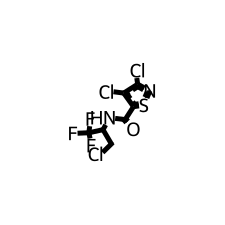 O=C(NC(CCl)C(F)(F)F)c1snc(Cl)c1Cl